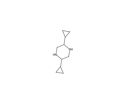 C1CC1C1CNC(C2CC2)CN1